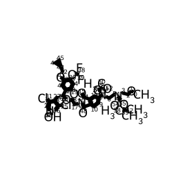 COCCN(CCN(c1ccc2c(c1)C(=O)N(CC(=O)O[C@@H](Cc1c(Cl)c[n+](O)cc1Cl)c1ccc(OC(F)F)c(OCC3CC3)c1)C2=O)S(C)(=O)=O)C(=O)OC(C)(C)C